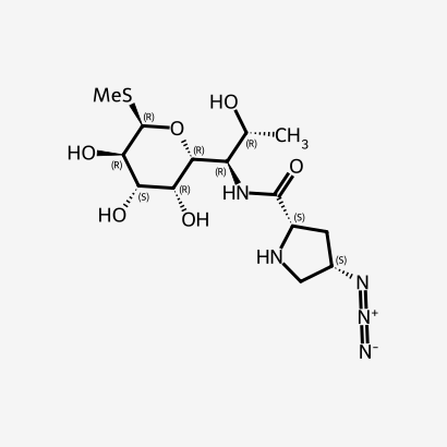 CS[C@H]1O[C@H]([C@H](NC(=O)[C@@H]2C[C@H](N=[N+]=[N-])CN2)[C@@H](C)O)[C@H](O)[C@H](O)[C@H]1O